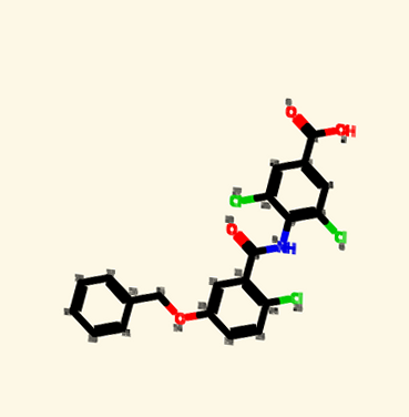 O=C(O)c1cc(Cl)c(NC(=O)c2cc(OCc3ccccc3)ccc2Cl)c(Cl)c1